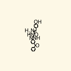 N[C@@H](Cc1ccc(O)cc1)C(=O)Nc1nc2ccc(C(=O)c3ccccc3)cc2[nH]1